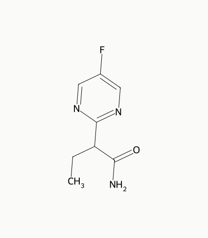 CCC(C(N)=O)c1ncc(F)cn1